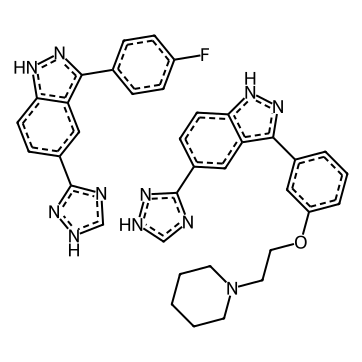 Fc1ccc(-c2n[nH]c3ccc(-c4nc[nH]n4)cc23)cc1.c1cc(OCCN2CCCCC2)cc(-c2n[nH]c3ccc(-c4nc[nH]n4)cc23)c1